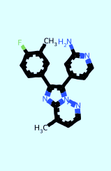 Cc1cc(-c2nc3c(C)ccnn3c2-c2ccnc(N)c2)ccc1F